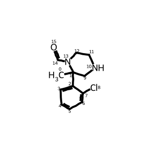 CC1(c2ccccc2Cl)CNCCN1C=O